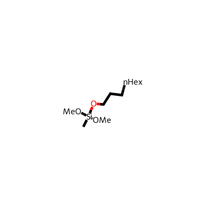 CCCCCCCCCO[Si](C)(OC)OC